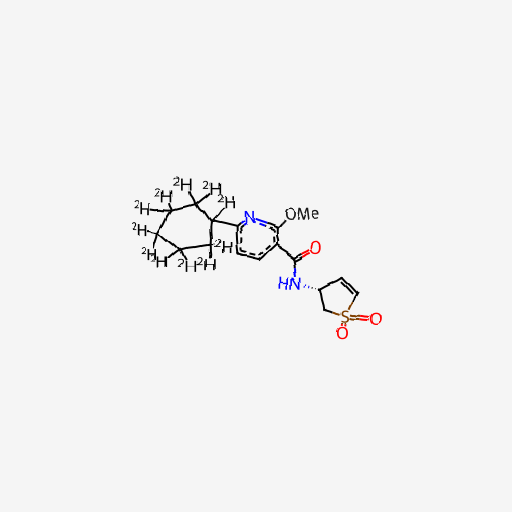 [2H]C1([2H])C([2H])([2H])C([2H])([2H])C([2H])(c2ccc(C(=O)N[C@@H]3C=CS(=O)(=O)C3)c(OC)n2)C([2H])([2H])C1([2H])[2H]